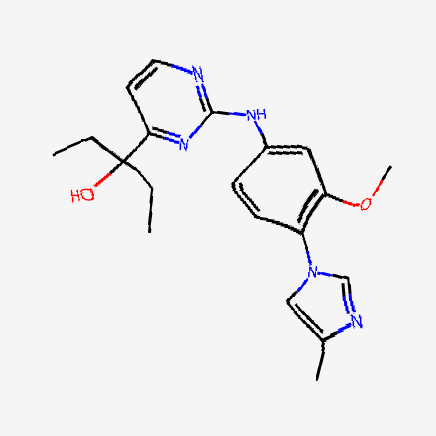 CCC(O)(CC)c1ccnc(Nc2ccc(-n3cnc(C)c3)c(OC)c2)n1